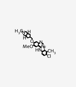 COc1cc2c(Nc3ccc(Cl)c(C)c3F)ncnc2cc1OCC1C[C@@H]2CN(C)C[C@@H]2C1